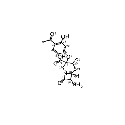 CC(=O)c1ccc(OC2(C(=O)O)CN3C(=O)C(N)[C@H]3SC2C)cc1O